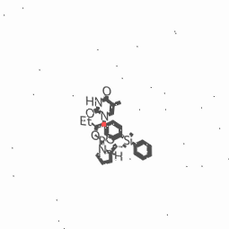 CC[C@@H](Cn1cc(C)c(=O)[nH]c1=O)O[P@@]1O[C@H](C[Si](C)(c2ccccc2)c2ccccc2)[C@@H]2CCCN21